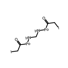 O=[C](CI)[Po][NH]C[NH][Po][C](=O)CI